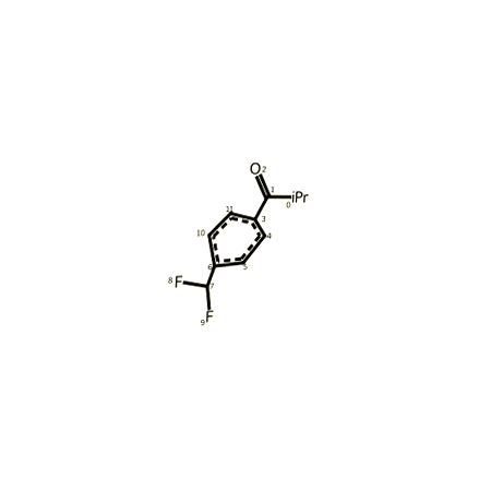 CC(C)C(=O)c1ccc(C(F)F)cc1